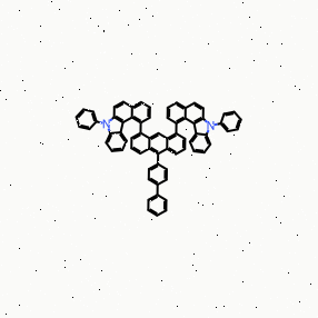 c1ccc(-c2ccc(-c3c4cccc(-c5cccc6ccc7c(c8ccccc8n7-c7ccccc7)c56)c4cc4c(-c5cccc6ccc7c(c8ccccc8n7-c7ccccc7)c56)cccc34)cc2)cc1